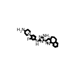 Nc1nc(Nc2ccc(N3CCC(N)CC3)c(F)c2)nn1-c1cc2c(nn1)-c1ccccc1CCC2